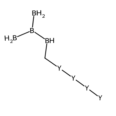 BB(B)B[CH2][Y][Y][Y][Y]